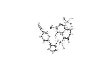 C[C@@H](c1ncnn1-c1ccc(C#N)cn1)N(C)c1ncnc2c(C(F)(F)F)cc(Br)cc12